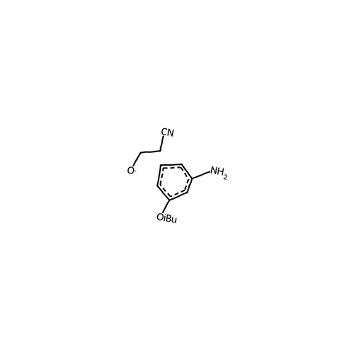 CC(C)COc1cccc(N)c1.N#CCC[O]